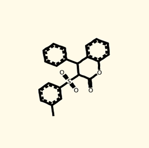 Cc1cccc(S(=O)(=O)C2C(=O)Oc3ccccc3C2c2ccccc2)c1